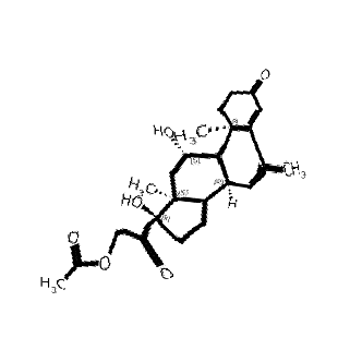 CC(=O)OCC(=O)[C@@]1(O)CCC2[C@@H]3C=C(C)C4=CC(=O)CC[C@]4(C)C3[C@@H](O)C[C@@]21C